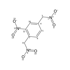 O=[N+]([O-])Cc1ccc(C[N+](=O)[O-])c([N+](=O)[O-])c1